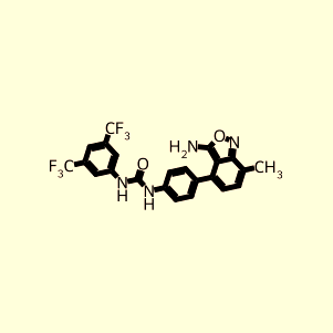 Cc1ccc(-c2ccc(NC(=O)Nc3cc(C(F)(F)F)cc(C(F)(F)F)c3)cc2)c2c(N)onc12